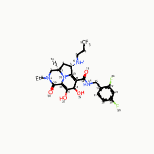 CCN1C[C@H]2C[C@H](NCCC(F)(F)F)C3=C(C(=O)NCc4ccc(F)cc4F)C(O)C(O)=C(C1=O)N32